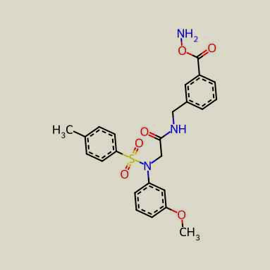 COc1cccc(N(CC(=O)NCc2cccc(C(=O)ON)c2)S(=O)(=O)c2ccc(C)cc2)c1